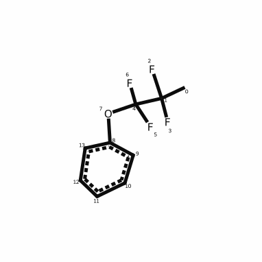 CC(F)(F)C(F)(F)Oc1ccccc1